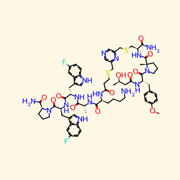 COc1ccc(C[C@H](NC(=O)C[C@@H](C)O)C(=O)N2CCC[C@@]2(C)C(=O)N[C@@H](CSCc2cncc(CSCCC(=O)N[C@@H](CCCCN)C(=O)N[C@H](C)C(=O)N[C@@H](Cc3c[nH]c4ccc(F)cc34)C(=O)N[C@@H](Cc3c[nH]c4ccc(F)cc34)C(=O)N3CCC[C@H]3C(N)=O)n2)C(N)=O)cc1